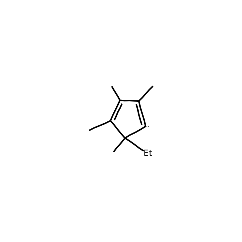 [CH2]CC1(C)[C]=C(C)C(C)=C1C